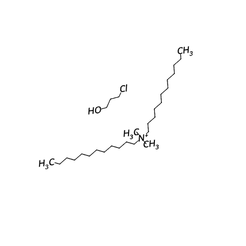 CCCCCCCCCCCC[N+](C)(C)CCCCCCCCCCCC.OCCCCl